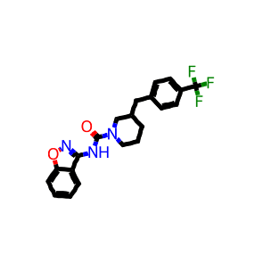 O=C(Nc1noc2ccccc12)N1CCCC(Cc2ccc(C(F)(F)F)cc2)C1